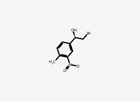 Cc1ccc([C@@H](O)CBr)cc1[N+](=O)[O-]